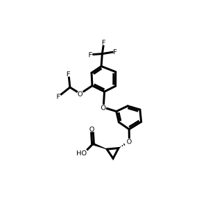 O=C(O)[C@@H]1C[C@H]1Oc1cccc(Oc2ccc(C(F)(F)F)cc2OC(F)F)c1